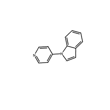 [c]1cc2ccccc2n1-c1ccncc1